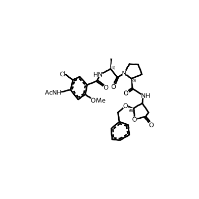 COc1cc(NC(C)=O)c(Cl)cc1C(=O)N[C@@H](C)C(=O)N1CCC[C@H]1C(=O)NC1CC(=O)O[C@H]1OCc1ccccc1